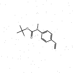 C=Cc1ccc(N(C)C(=O)OC(C)(C)C)cc1